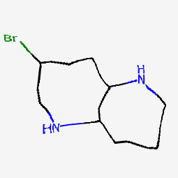 BrC1CNC2CCCNC2C1